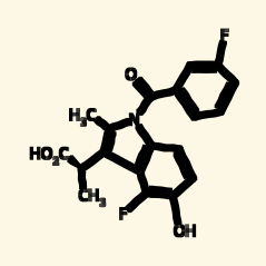 Cc1c([C@@H](C)C(=O)O)c2c(F)c(O)ccc2n1C(=O)c1cccc(F)c1